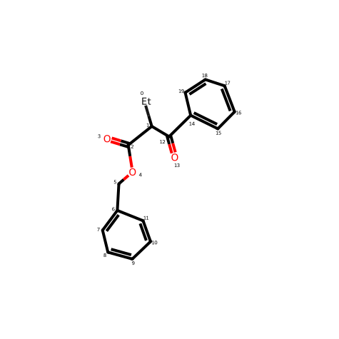 CCC(C(=O)OCc1ccccc1)C(=O)c1ccccc1